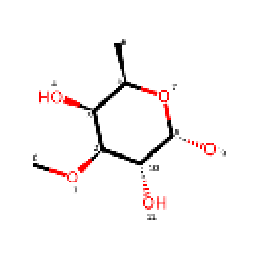 CO[C@H]1[C@@H](O)[C@@H](C)O[C@H]([O])[C@@H]1O